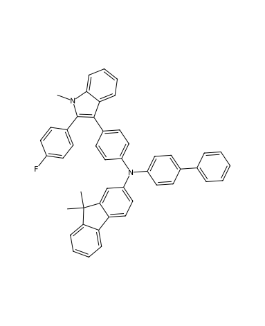 Cn1c(-c2ccc(F)cc2)c(-c2ccc(N(c3ccc(-c4ccccc4)cc3)c3ccc4c(c3)C(C)(C)c3ccccc3-4)cc2)c2ccccc21